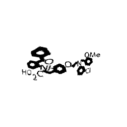 COc1ccccc1CN(CCOc1ccc(C[C@H](Nc2ccccc2C(=O)c2ccccc2)C(=O)O)cc1)c1cccc(Cl)c1